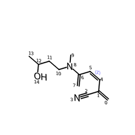 C=C(C#N)/C=C\C(=C)N(C)CCC(C)O